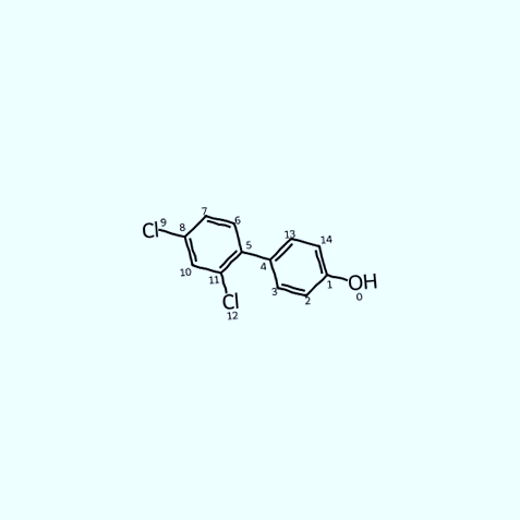 Oc1ccc(-c2ccc(Cl)cc2Cl)cc1